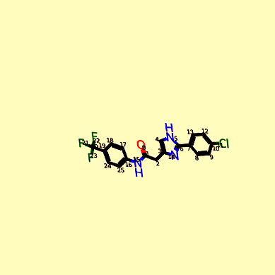 O=C(Cc1c[nH]c(-c2ccc(Cl)cc2)n1)Nc1ccc(C(F)(F)F)cc1